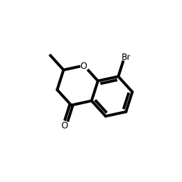 CC1CC(=O)c2cccc(Br)c2O1